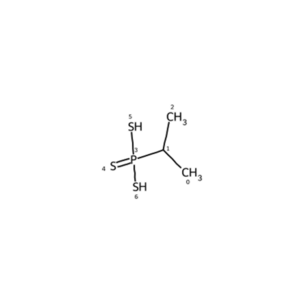 CC(C)P(=S)(S)S